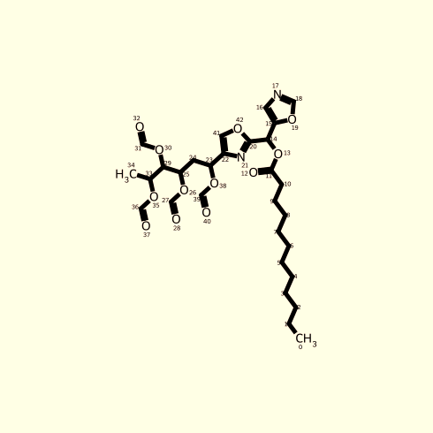 CCCCCCCCCCCC(=O)OC(c1cnco1)c1nc(C(CC(OC=O)C(OC=O)C(C)OC=O)OC=O)co1